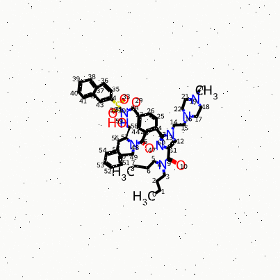 CCCCN(CCCC)C(=O)c1cn(CCN2CCN(C)CC2)c(-c2ccc(C(=O)NS(=O)(=O)c3ccc4ccccc4c3)cc2C(=O)N2Cc3ccccc3C[C@H]2CO)n1